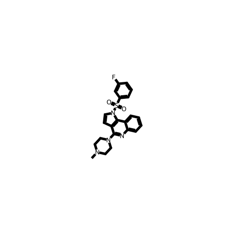 CN1CCN(c2nc3ccccc3c3c2ccn3S(=O)(=O)c2cccc(F)c2)CC1